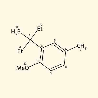 BC(CC)(CC)c1cc(C)ccc1OC